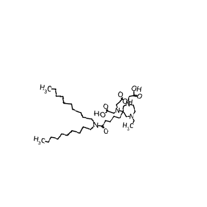 CCCCCCCCCCN(CCCCCCCCCC)C(=O)CCCCC1(N(CC(=O)O)CC(=O)O)CN(CC)CCN(CC(=O)O)C1